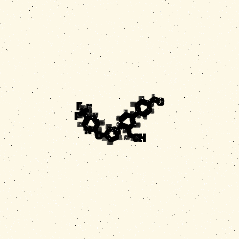 O=Cc1ccc(-c2ccc(N3CCC(Oc4ccc(C(F)(F)F)cn4)C3)c(CO)c2)cc1